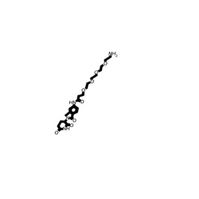 NCCOCCOCCOCCOCCC(=O)Nc1ccc2c(c1)CN(C1CCC(=O)NC1=O)C2=O